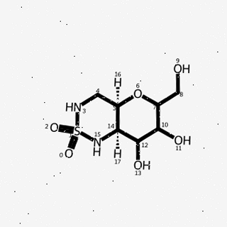 O=S1(=O)NC[C@H]2OC(CO)C(O)C(O)[C@H]2N1